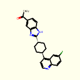 COC(=O)c1ccc2[nH]c([C@H]3CC[C@H](c4ccnc5ccc(F)cc54)CC3)nc2c1